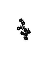 c1ccc(-c2nc(-c3ccc4c(c3)sc3cccc(-c5nc(-c6ccccc6)c6sc7ccccc7c6n5)c34)nc(-c3ccc4sc5ccccc5c4c3)n2)cc1